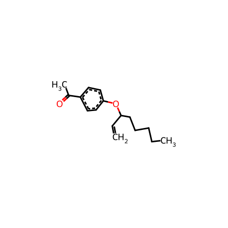 C=CC(CCCCC)Oc1ccc(C(C)=O)cc1